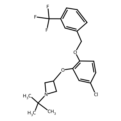 CC(C)(C)N1CC(Oc2cc(Cl)ccc2OCc2cccc(C(F)(F)F)c2)C1